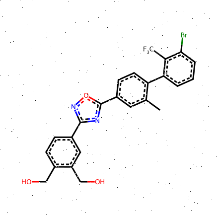 Cc1cc(-c2nc(-c3ccc(CO)c(CO)c3)no2)ccc1-c1cccc(Br)c1C(F)(F)F